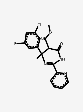 COC(=O)C1C(=O)NC(c2ccccn2)=NC1(C)c1cc(F)cc(Cl)c1